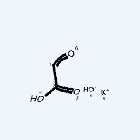 O=CC(=O)O.[K+].[OH-]